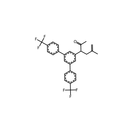 C=C(C)CC(C(C)=O)c1cc(-c2ccc(C(F)(F)F)cc2)cc(-c2ccc(C(F)(F)F)cc2)c1